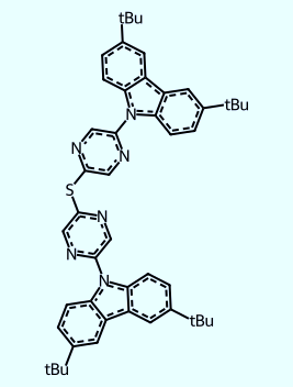 CC(C)(C)c1ccc2c(c1)c1cc(C(C)(C)C)ccc1n2-c1cnc(Sc2cnc(-n3c4ccc(C(C)(C)C)cc4c4cc(C(C)(C)C)ccc43)cn2)cn1